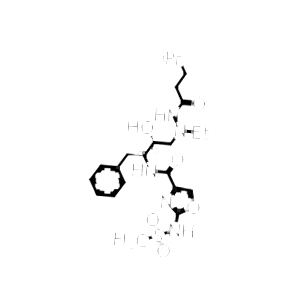 CCN(C[C@H](O)[C@H](Cc1ccccc1)NC(=O)c1coc(NS(C)(=O)=O)n1)NC(=O)CCC(C)C